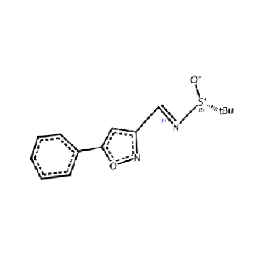 CC(C)(C)[S@@+]([O-])/N=C/c1cc(-c2ccccc2)on1